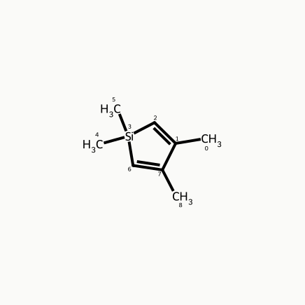 CC1=C[Si](C)(C)C=C1C